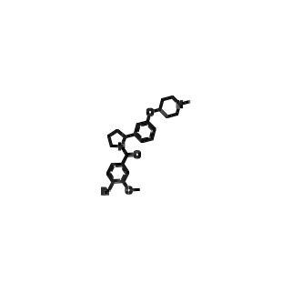 COc1cc(C(=O)N2CCCC2c2cccc(OC3CCN(C)CC3)c2)ccc1Br